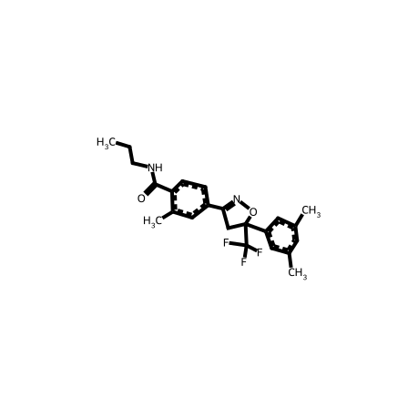 CCCNC(=O)c1ccc(C2=NOC(c3cc(C)cc(C)c3)(C(F)(F)F)C2)cc1C